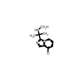 CC(C)(NC(=O)O)c1ncc2c(Cl)cccn12